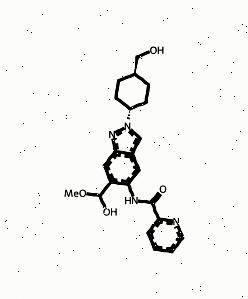 COC(O)c1cc2nn([C@H]3CC[C@H](CO)CC3)cc2cc1NC(=O)c1ccccn1